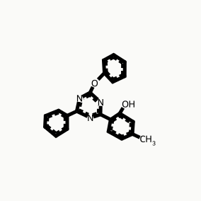 Cc1ccc(-c2nc(Oc3ccccc3)nc(-c3ccccc3)n2)c(O)c1